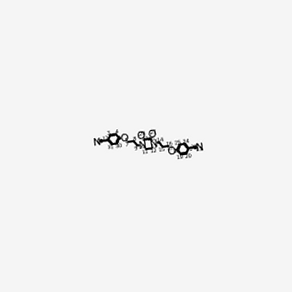 N#Cc1ccc(OCCCN2CCN(CCCOc3ccc(C#N)cc3)C(=O)C2=O)cc1